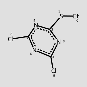 CCSc1nc(Cl)nc(Cl)n1